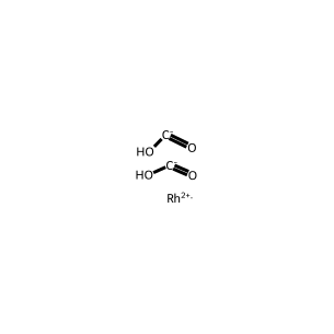 O=[C-]O.O=[C-]O.[Rh+2]